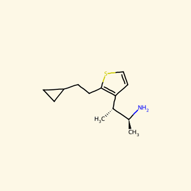 C[C@H](N)[C@H](C)c1ccsc1CCC1CC1